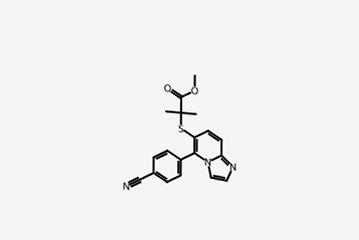 COC(=O)C(C)(C)Sc1ccc2nccn2c1-c1ccc(C#N)cc1